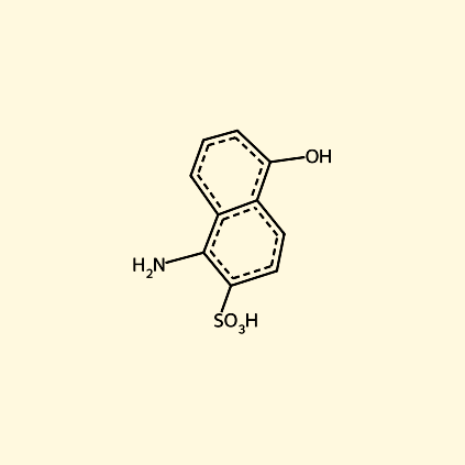 Nc1c(S(=O)(=O)O)ccc2c(O)cccc12